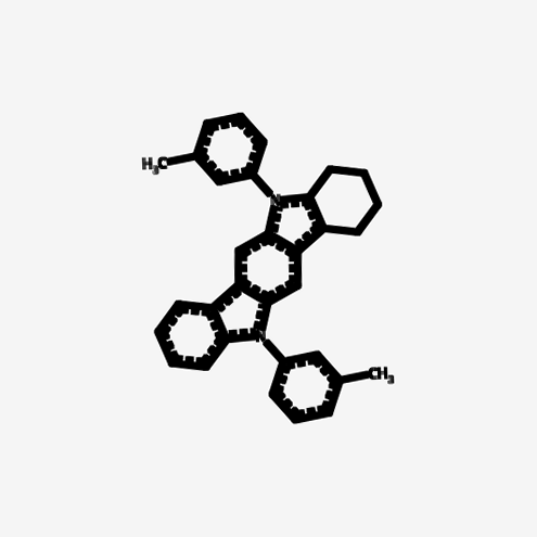 Cc1cccc(-n2c3c(c4cc5c(cc42)c2ccccc2n5-c2cccc(C)c2)CCCC3)c1